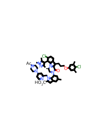 CC(=O)N1CCN(c2ccnc(Cn3c(C(=O)O)cc4cc(C)cc(N5C[C@@H](C)n6c(c(CCCOc7cc(C)c(Cl)c(C)c7)c7ccc(Cl)c(-c8c(C)nn(C)c8C)c76)C5=O)c43)c2)CC1